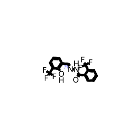 O=C(N/N=C/c1cccc(C(F)(F)F)c1O)c1ccccc1C(F)(F)F